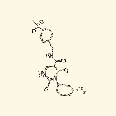 CS(=O)(=O)c1ccc(CNC(=O)c2c[nH]c(=O)n(-c3cccc(C(F)(F)F)c3)c2=O)cc1